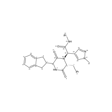 CC(C)C[C@@H]1C(=O)NC(C2Cc3ccccc3C2)C(=O)N1[C@@H](C(=O)NC(C)C)c1cnn(C)c1